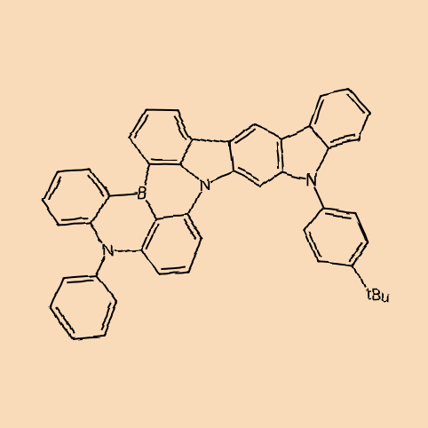 CC(C)(C)c1ccc(-n2c3ccccc3c3cc4c5cccc6c5n(c4cc32)-c2cccc3c2B6c2ccccc2N3c2ccccc2)cc1